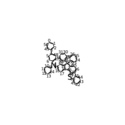 c1ccc(-c2ccc(N(c3ccccc3)c3ccc4c(c3)C(c3ccccc3)(c3ccccc3)c3ccc5c(sc6ccccc65)c3-4)cc2)cc1